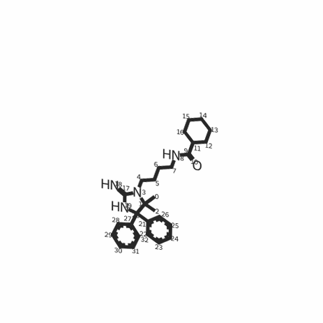 CC1(C)N(CCCCNC(=O)C2CCCCC2)C(=N)NC1(c1ccccc1)c1ccccc1